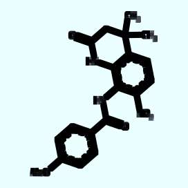 COc1ccc(C(=O)Nc2c([N+](=O)[O-])ccc3c2NC(=O)CC3(C)C)cc1